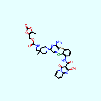 Cc1oc(=O)oc1COC(=O)NCC1(C)CCN(c2cnc(Sc3cccc(NC(=O)c4c(O)nc5ccccn5c4=O)c3Cl)c(N)n2)CC1